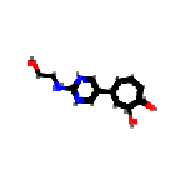 O=c1cccc(-c2cnc(NCCO)nc2)cc1O